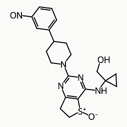 O=Nc1cccc(C2CCN(c3nc4c(c(NC5(CO)CC5)n3)[S+]([O-])CC4)CC2)c1